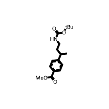 COC(=O)c1ccc(C(C)CCNC(=O)OC(C)(C)C)cc1